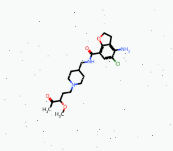 COC(CCN1CCC(CNC(=O)c2cc(Cl)c(N)c3c2OCC3)CC1)C(C)=O